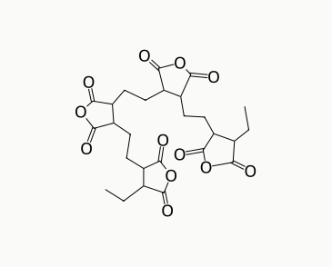 CCC1C(=O)OC(=O)C1CCC1C(=O)OC(=O)C1CCC1C(=O)OC(=O)C1CCC1C(=O)OC(=O)C1CC